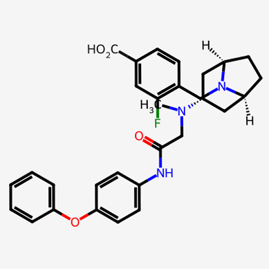 CN(CC(=O)Nc1ccc(Oc2ccccc2)cc1)[C@@H]1C[C@H]2CC[C@@H](C1)N2Cc1ccc(C(=O)O)cc1F